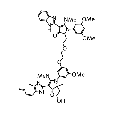 C=C/C=C\c1[nH]c(C2=C(NC)N(c3cc(OC)cc(OCCOCCC4C(=O)C(c5nc6ccccc6[nH]5)=C(NC)N4c4cc(OC)cc(OC)c4)c3)C(C)(CCO)C2=O)nc1C